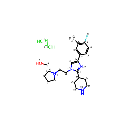 Cl.Cl.Cl.OC[C@H]1CCCN1CCn1cc(-c2ccc(F)c(C(F)(F)F)c2)nc1C1CCNCC1